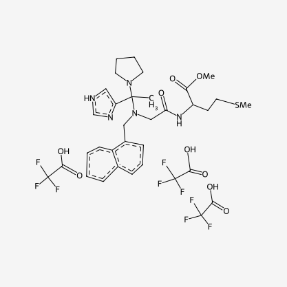 COC(=O)C(CCSC)NC(=O)CN(Cc1cccc2ccccc12)C(C)(c1c[nH]cn1)N1CCCC1.O=C(O)C(F)(F)F.O=C(O)C(F)(F)F.O=C(O)C(F)(F)F